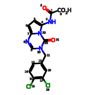 O=C(O)C(=O)Nc1ccc2ncn(Cc3ccc(Cl)c(Cl)c3)c(=O)n12